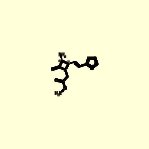 COC(=O)CN1C(=O)[C@H](N)[C@@H]1C=Cc1ccco1